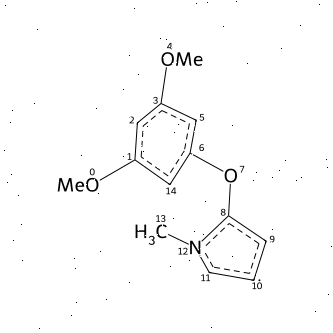 COc1cc(OC)cc(Oc2c[c]cn2C)c1